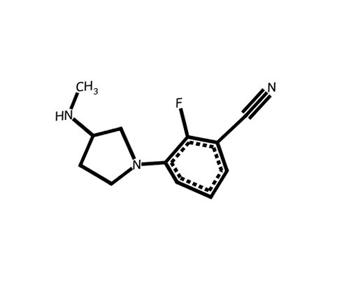 CNC1CCN(c2cccc(C#N)c2F)C1